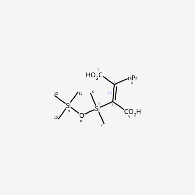 CCC/C(C(=O)O)=C(\C(=O)O)[Si](C)(C)O[Si](C)(C)C